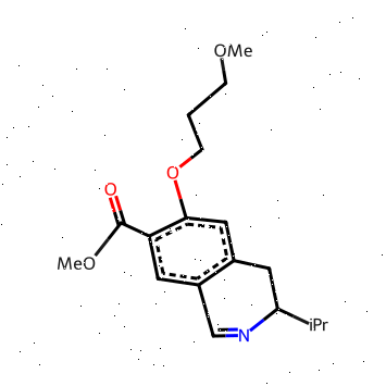 COCCCOc1cc2c(cc1C(=O)OC)C=NC(C(C)C)C2